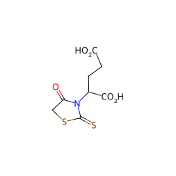 O=C(O)CCC(C(=O)O)N1C(=O)CSC1=S